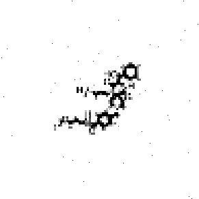 CCCCN1C(=O)[C@@H]([C@H](O)C2CCCCC2)NC(=O)C12CCN(Cc1ccc(C(=O)NCCCOC)cc1)CC2